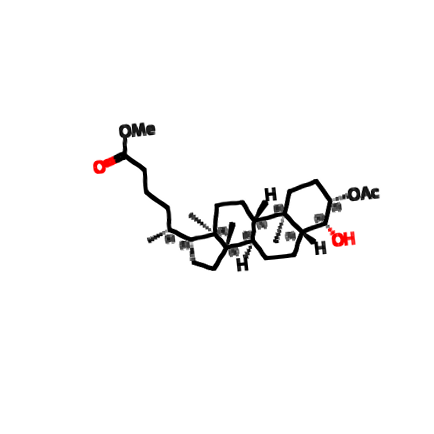 COC(=O)CCC[C@@H](C)[C@H]1CC[C@@]2(C)[C@@H]3CC[C@H]4[C@@H](O)[C@@H](OC(C)=O)CC[C@]4(C)[C@H]3CC[C@]12C